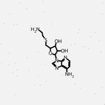 NCCSCC1OC(n2cnc3c(N)ccnc32)C(O)C1O